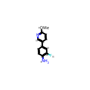 COc1ccc(-c2ccc(N)c(F)c2)cn1